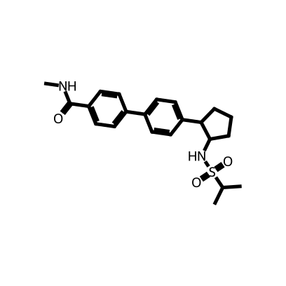 CNC(=O)c1ccc(-c2ccc(C3CCCC3NS(=O)(=O)C(C)C)cc2)cc1